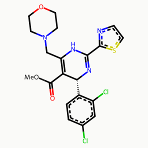 COC(=O)C1=C(CN2CCOCC2)NC(c2nccs2)=N[C@@H]1c1ccc(Cl)cc1Cl